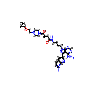 CCCOCCN1CCN(C(=O)CCC(=O)NCCCCn2nc(-c3cnc4[nH]ccc4c3)c3c(N)ncnc32)CC1